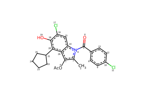 CC(=O)Oc1c(C)n(C(=O)c2ccc(Cl)cc2)c2cc(Cl)c(O)c(C3CCCC3)c12